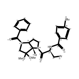 COC1(OC)CN(C(=O)c2ccccc2)C2CCN(C(=O)[C@H](CC(C)C)NC(=O)c3ccc(C(C)(C)C)cc3)[C@@H]21